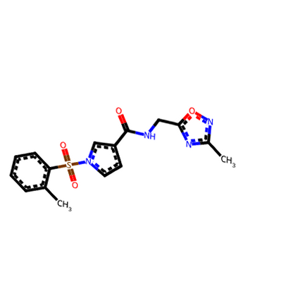 Cc1noc(CNC(=O)c2ccn(S(=O)(=O)c3ccccc3C)c2)n1